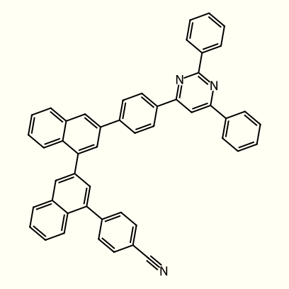 N#Cc1ccc(-c2cc(-c3cc(-c4ccc(-c5cc(-c6ccccc6)nc(-c6ccccc6)n5)cc4)cc4ccccc34)cc3ccccc23)cc1